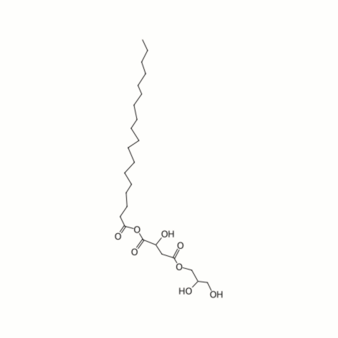 CCCCCCCCCCCCCCCCCC(=O)OC(=O)C(O)CC(=O)OCC(O)CO